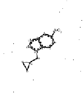 O=[N+]([O-])c1ccc2c(c1)nnn2CC1CC1